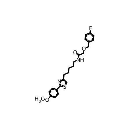 COc1ccc(-c2nc(CCCCCNC(=O)COCc3ccc(F)cc3)cs2)cc1